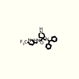 O=C(NCc1ccc(C(F)(F)F)nc1)C1(CN=C(c2ccccc2)c2ccccc2)CCNCC1